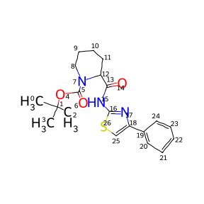 CC(C)(C)OC(=O)N1CCCCC1C(=O)Nc1nc(-c2ccccc2)cs1